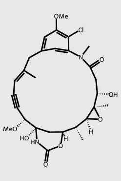 COc1cc2cc(c1Cl)N(C)C(=O)C[C@H](O)[C@@]1(C)O[C@H]1[C@H](C)[C@@H]1C[C@@](O)(NC(=O)O1)[C@H](OC)C#C/C=C(\C)C2